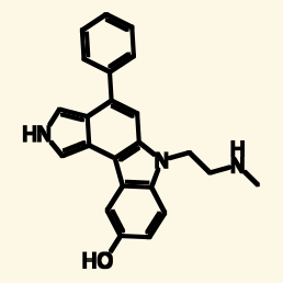 CNCCn1c2ccc(O)cc2c2c3c[nH]cc3c(-c3ccccc3)cc21